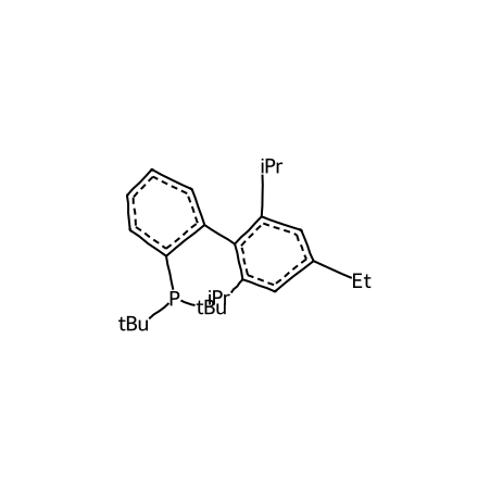 [CH2]Cc1cc(C(C)C)c(-c2ccccc2P(C(C)(C)C)C(C)(C)C)c(C(C)C)c1